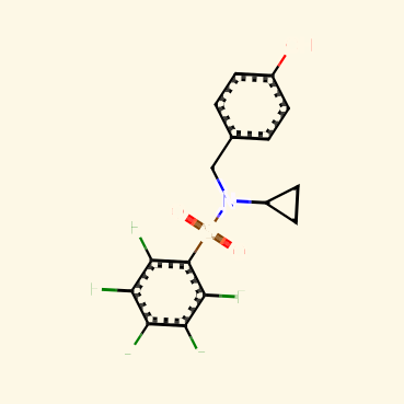 O=S(=O)(c1c(F)c(F)c(F)c(F)c1F)N(Cc1ccc(O)cc1)C1CC1